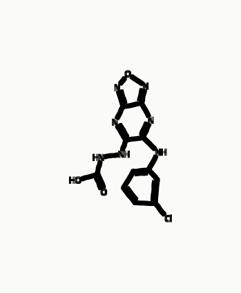 O=C(O)NNc1nc2nonc2nc1Nc1cccc(Cl)c1